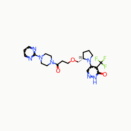 O=C(CCOC[C@@H]1CCCN1c1cn[nH]c(=O)c1C(F)(F)F)N1CCN(c2ncccn2)CC1